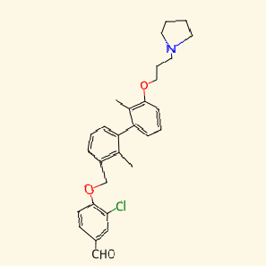 Cc1c(COc2ccc(C=O)cc2Cl)cccc1-c1cccc(OCCCN2CCCC2)c1C